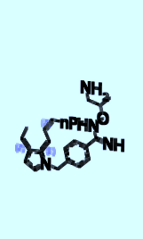 C/C=c1/ccn(Cc2ccc(C(=N)NOC(C)CN)cc2)/c1=C/C=C\CCC